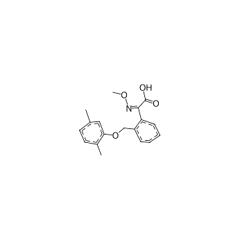 CON=C(C(=O)O)c1ccccc1COc1cc(C)ccc1C